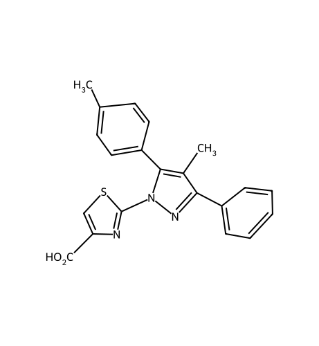 Cc1ccc(-c2c(C)c(-c3ccccc3)nn2-c2nc(C(=O)O)cs2)cc1